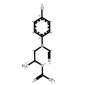 CC(=O)OC(C)CN(C=O)c1ccc(Cl)cc1